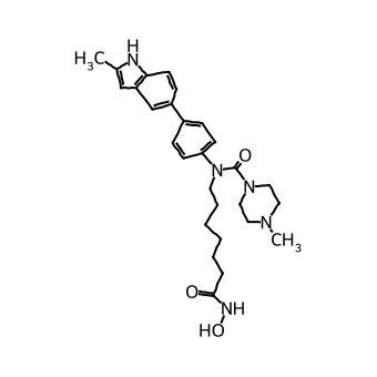 Cc1cc2cc(-c3ccc(N(CCCCCCC(=O)NO)C(=O)N4CCN(C)CC4)cc3)ccc2[nH]1